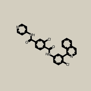 O=C(Nc1ccncc1)c1ccc(C(=O)Nc2ccc(Cl)c(-c3nccc4ccccc34)c2)c(Cl)c1